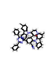 Cc1ccc2c(c1)c1ccccc1n2-c1ccncc1-c1cc(-c2nc(-c3ccccc3)nc(-c3ccccc3)n2)cc(C#N)c1-n1c2ccccc2c2cc(C)ccc21